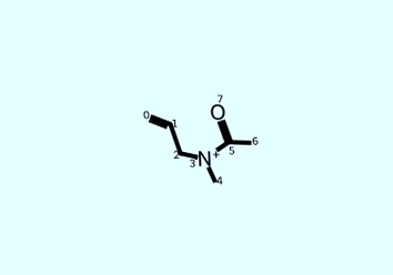 C=CC[N+](C)C(C)=O